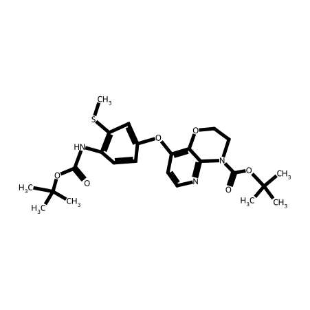 CSc1cc(Oc2ccnc3c2OCCN3C(=O)OC(C)(C)C)ccc1NC(=O)OC(C)(C)C